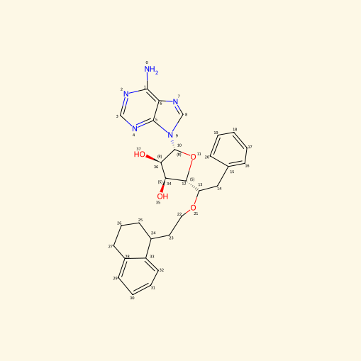 Nc1ncnc2c1ncn2[C@@H]1O[C@H](C(Cc2ccccc2)OCCC2CCCc3ccccc32)[C@@H](O)[C@H]1O